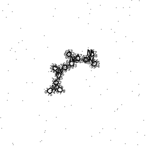 c1ccc(-n2c3ccccc3c3cc(-c4ccc5c(c4)c4ccccc4n5-c4ccc(-c5ccc6c7cc(-c8ccc9c(c8)c8ncccc8n9-c8ccccc8)ccc7n(-c7ccccc7)c6c5)cc4)ccc32)cc1